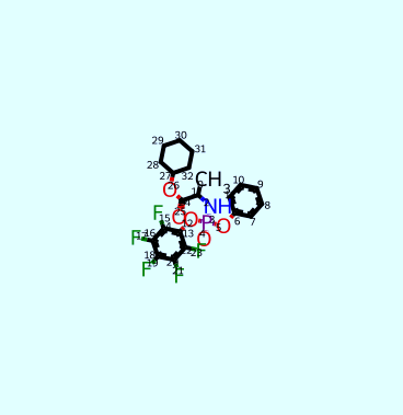 CC(NP(=O)(Oc1ccccc1)Oc1c(F)c(F)c(F)c(F)c1F)C(=O)OC1CCCCC1